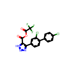 O=C(OC(=O)C(F)(F)F)c1[nH]nnc1-c1ccc(-c2ccc(Cl)cc2)c(Cl)c1